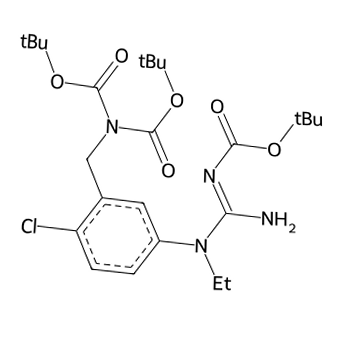 CCN(C(N)=NC(=O)OC(C)(C)C)c1ccc(Cl)c(CN(C(=O)OC(C)(C)C)C(=O)OC(C)(C)C)c1